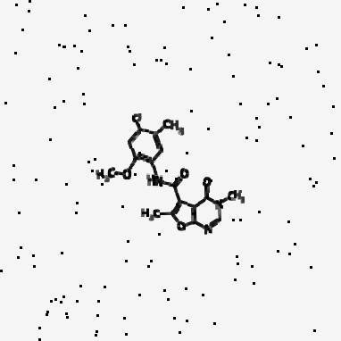 COc1cc(Cl)c(C)cc1NC(=O)c1c(C)oc2ncn(C)c(=O)c12